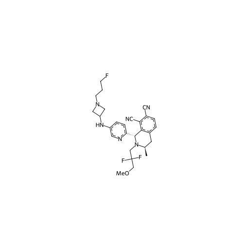 COCC(F)(F)CN1[C@H](c2ccc(NC3CN(CCCF)C3)cn2)c2c(ccc(C#N)c2C#N)C[C@H]1C